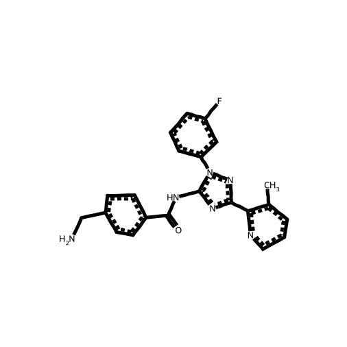 Cc1cccnc1-c1nc(NC(=O)c2ccc(CN)cc2)n(-c2cccc(F)c2)n1